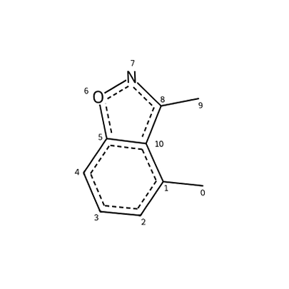 Cc1cccc2onc(C)c12